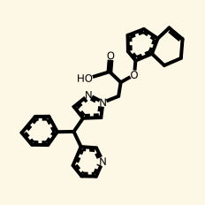 O=C(O)C(Cn1cc(C(c2ccccc2)c2cccnc2)cn1)Oc1cccc2c1CCC=C2